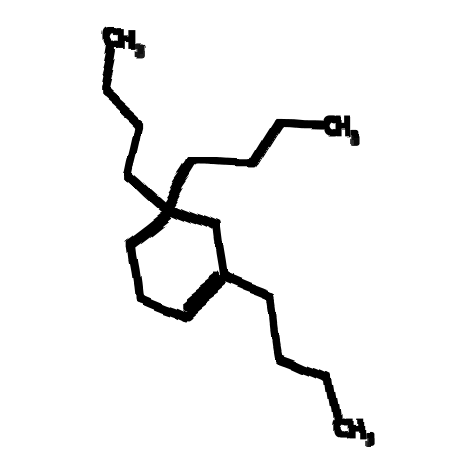 CCCCC1=CCCC(CCCC)(CCCC)C1